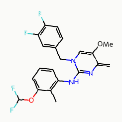 C=C1N=C(Nc2cccc(OC(F)F)c2C)N(Cc2ccc(F)c(F)c2)C=C1OC